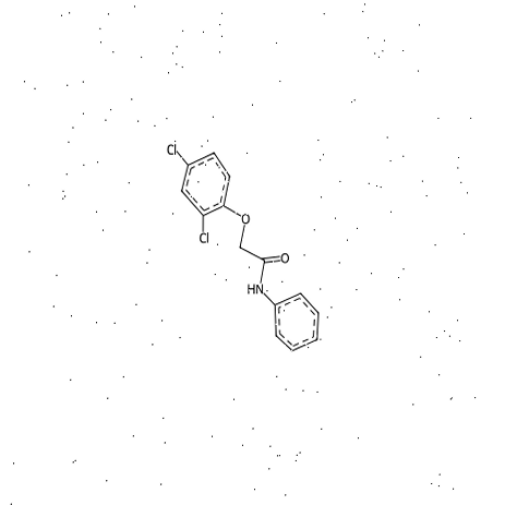 O=C(COc1ccc(Cl)cc1Cl)Nc1cc[c]cc1